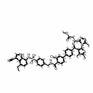 CCc1ccc(NS(=O)(=O)c2ccc(CNC(=O)c3ccc(-c4ccc(C5=N[C@@H](CC(=O)OC)c6nnc(C)n6-c6sc(C)c(C)c65)cc4)cc3Cl)cc2)c2[nH]cc(C#N)c12